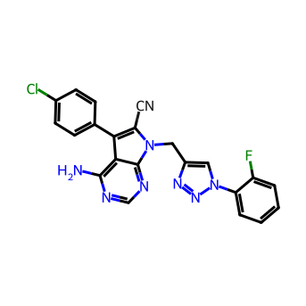 N#Cc1c(-c2ccc(Cl)cc2)c2c(N)ncnc2n1Cc1cn(-c2ccccc2F)nn1